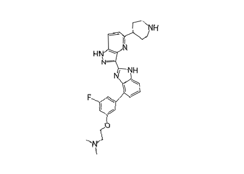 CN(C)CCOc1cc(F)cc(-c2cccc3[nH]c(-c4n[nH]c5ccc(C6CCNCC6)nc45)nc23)c1